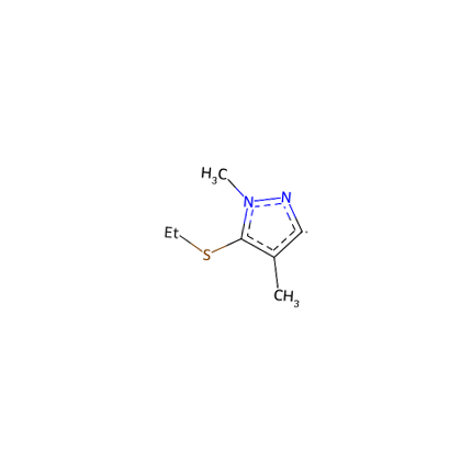 CCSc1c(C)[c]nn1C